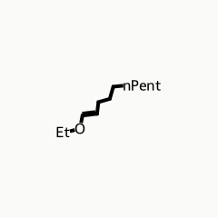 CCCCCCCC/C=C/OCC